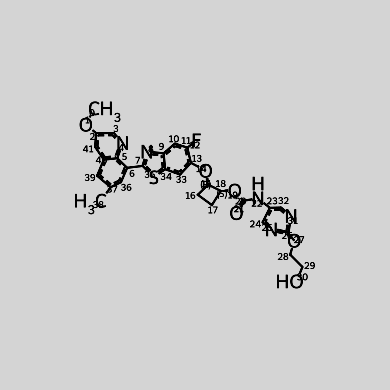 COc1cnc2c(-c3nc4cc(F)c(O[C@@H]5CC[C@@H]5OC(=O)Nc5cnc(OCCO)nc5)cc4s3)cc(C)cc2c1